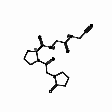 N#CCNC(=O)CNC(=O)[C@@H]1CCCN1C(=O)CN1CCCC1=O